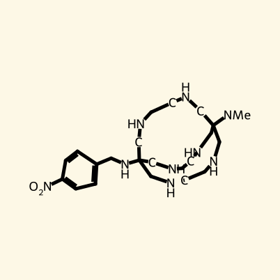 CNC12CNCCNCC(NCc3ccc([N+](=O)[O-])cc3)(CNCCNC1)CNCCNC2